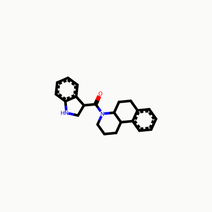 O=C(C1CNc2ccccc21)N1CCCC2c3ccccc3CCC21